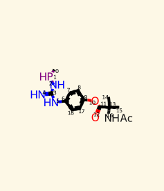 CPNC(=N)Nc1ccc(OC(=O)C(C)(C)NC(C)=O)cc1